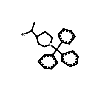 CC(O)C1CCN(C(c2ccccc2)(c2ccccc2)c2ccccc2)CC1